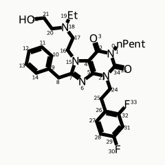 CCCCCn1c(=O)c2c(nc(Cc3ccccc3)n2CCN(CC)CCO)n(CCc2ccc(F)cc2F)c1=O